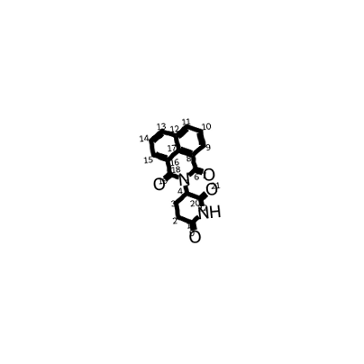 O=C1CCC(N2C(=O)c3cccc4cccc(c34)C2=O)C(=O)N1